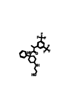 CC(C(=O)NC1(c2ccccc2)CCC(NCCO)CC1)c1cc(C(F)(F)F)cc(C(F)(F)F)c1